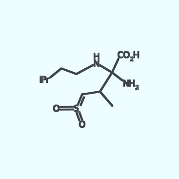 CC(C)CCNC(N)(C(=O)O)C(C)C=S(=O)=O